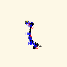 CC(=O)c1c(C)c2cnc(Nc3ccc(N4CCN(CC(=O)NCCCCCCC(=O)Nc5ccccc5C(=O)Nc5nc(C)c(C)s5)CC4)cn3)nc2n(C2CCCC2)c1=O